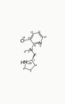 CN(C[C@H]1CCCN1)c1ncccc1Cl